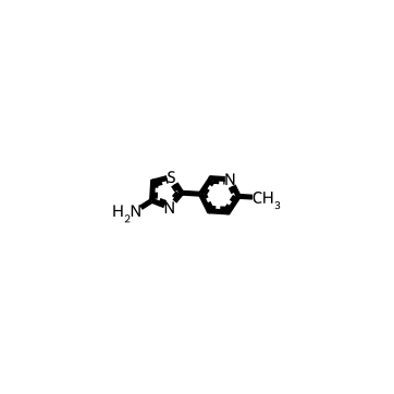 Cc1ccc(-c2nc(N)cs2)cn1